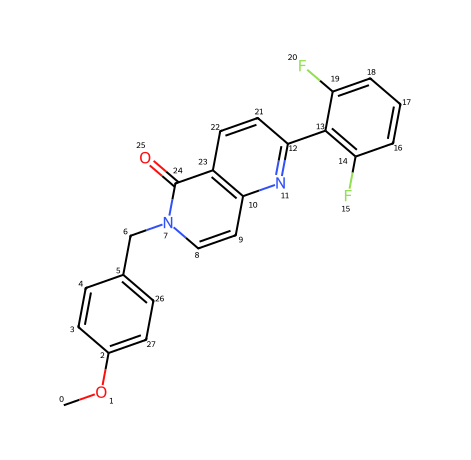 COc1ccc(Cn2ccc3nc(-c4c(F)cccc4F)ccc3c2=O)cc1